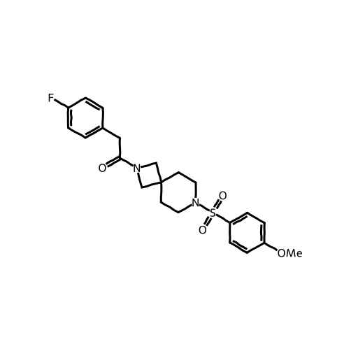 COc1ccc(S(=O)(=O)N2CCC3(CC2)CN(C(=O)Cc2ccc(F)cc2)C3)cc1